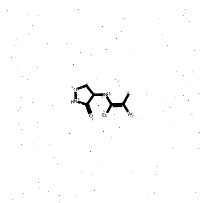 CCC(NC1CONC1=O)=C(C)C(C)=O